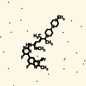 C=N/C(=C\C=C(/C)C(C)N1CCC(N2CCN(C)CC2)CC1)Nc1ncc(F)c(-c2cc(F)c3nc(C)n(C(C)C)c3c2)n1